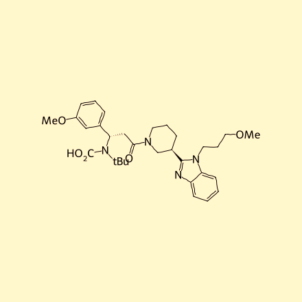 COCCCn1c([C@@H]2CCCN(C(=O)C[C@@H](c3cccc(OC)c3)N(C(=O)O)C(C)(C)C)C2)nc2ccccc21